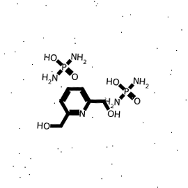 NP(N)(=O)O.NP(N)(=O)O.OCc1cccc(CO)n1